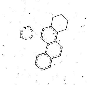 c1ccc2c(c1)ccc1c3c(ccc12)CCCC3.c1ncon1